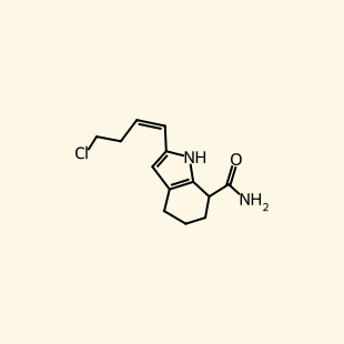 NC(=O)C1CCCc2cc(/C=C\CCCl)[nH]c21